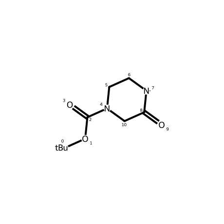 CC(C)(C)OC(=O)N1CC[N]C(=O)C1